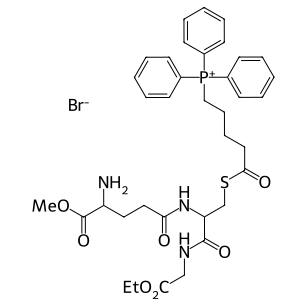 CCOC(=O)CNC(=O)C(CSC(=O)CCCC[P+](c1ccccc1)(c1ccccc1)c1ccccc1)NC(=O)CCC(N)C(=O)OC.[Br-]